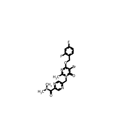 Cc1nc(OCc2ccc(F)cc2F)c(Br)c(=O)n1Cc1cnc(C(=O)N(C)C)cn1